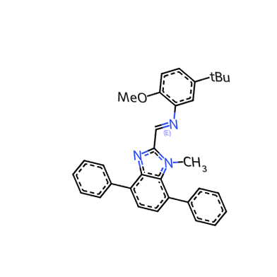 COc1ccc(C(C)(C)C)cc1/N=C/c1nc2c(-c3ccccc3)ccc(-c3ccccc3)c2n1C